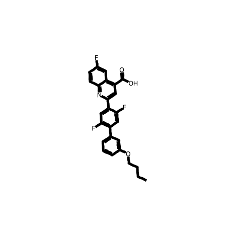 CCCCOc1cccc(-c2cc(F)c(-c3cc(C(=O)O)c4cc(F)ccc4n3)cc2F)c1